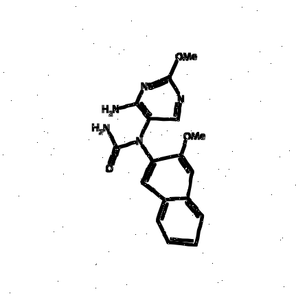 COc1ncc(N(C(N)=O)c2cc3ccccc3cc2OC)c(N)n1